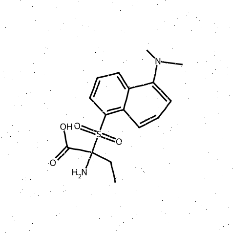 CCC(N)(C(=O)O)S(=O)(=O)c1cccc2c(N(C)C)cccc12